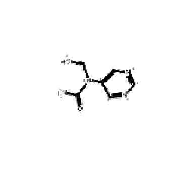 NC(=O)N(CO)c1cncnc1